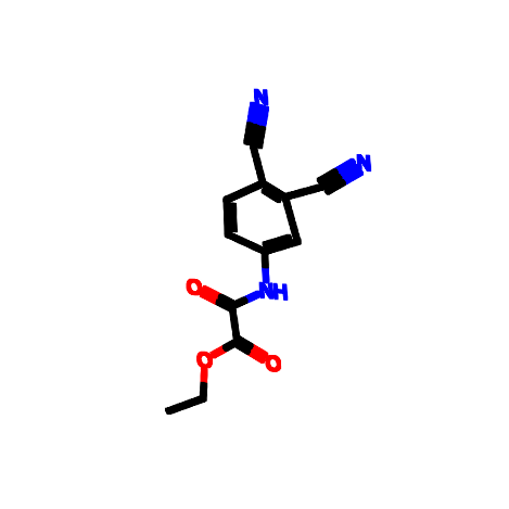 CCOC(=O)C(=O)Nc1ccc(C#N)c(C#N)c1